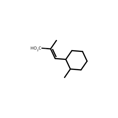 CC(=CC1CCCCC1C)C(=O)O